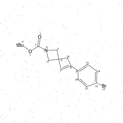 CC(C)(C)OC(=O)N1CC2(C=C(c3ccc(Br)cc3)C2)C1